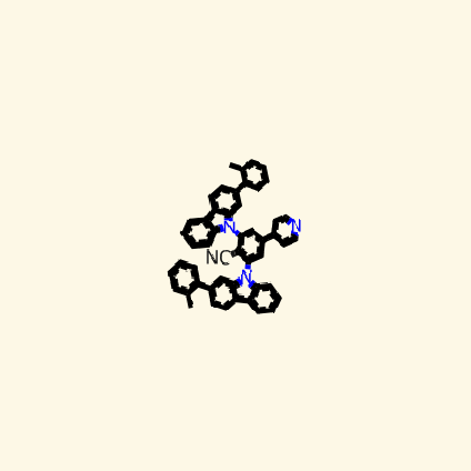 Cc1ccccc1-c1ccc2c3ccccc3n(-c3cc(-c4ccncc4)cc(-n4c5ccccc5c5ccc(-c6ccccc6C)cc54)c3C#N)c2c1